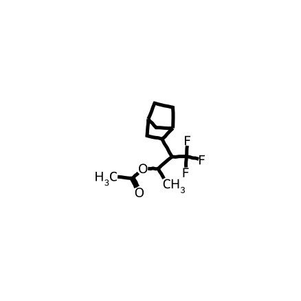 CC(=O)OC(C)C(C1CC2CCC1C2)C(F)(F)F